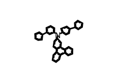 c1ccc(-c2ccc(N(c3cccc(-c4ccccc4)c3)c3ccc4c5ccccc5c5ccccc5c4c3)cc2)cc1